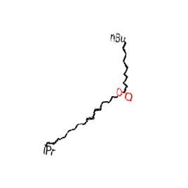 CCCCC=CCCCCCCCC(=O)OCCCCCCCCCCCCCCCCC(C)C